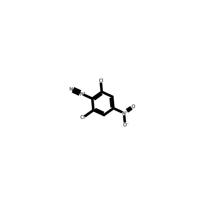 N#[N+]c1c(Cl)cc([N+](=O)[O-])cc1Cl